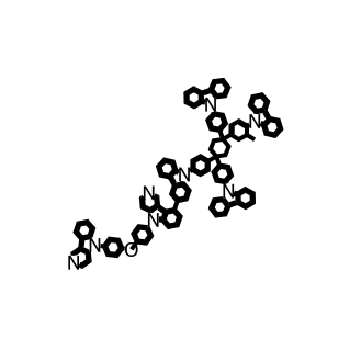 CC1CC(C2(c3ccc(-n4c5ccccc5c5ccccc54)cc3)CCC(c3ccc(-n4c5ccccc5c5ccccc54)cc3)(c3ccc(-n4c5ccccc5c5cc(-c6cccc7c6c6cnccc6n7-c6ccc(Oc7ccc(-n8c9ccccc9c9cnccc98)cc7)cc6)ccc54)cc3)CC2)=CC=C1n1c2ccccc2c2ccccc21